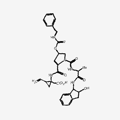 C=CC1CC1(NC(=O)C1CC(OC(=O)NCc2ccccc2)CN1C(=O)NC(C(=O)NC1c2ccccc2CC1O)C(C)(C)C)C(=O)O